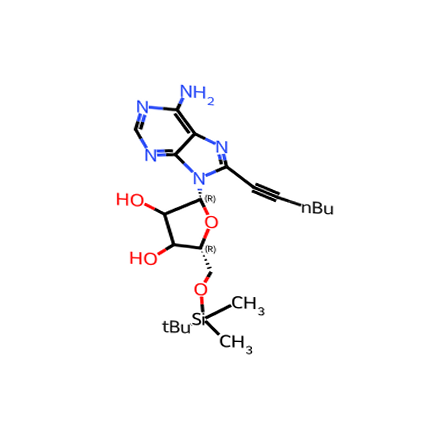 CCCCC#Cc1nc2c(N)ncnc2n1[C@@H]1O[C@H](CO[Si](C)(C)C(C)(C)C)C(O)C1O